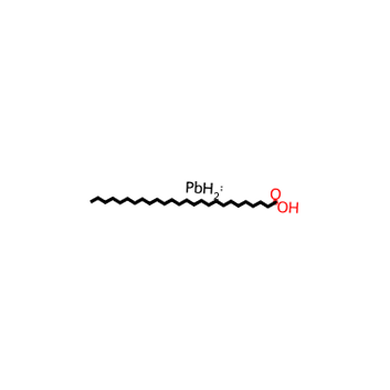 CCCCCCCCCCCCCCCCCCCCCCCCCC(=O)O.[PbH2]